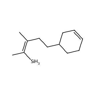 CC([SiH3])=C(C)CCC1CC=CCC1